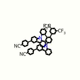 N#Cc1ccc(-c2ccc3c(c2)c2ccccc2n3-c2ccc(-c3cc(C(F)(F)F)cc(C(F)(F)F)c3)c(-c3cc(C#N)ccc3-n3c4ccccc4c4cc(-c5ccc(C#N)cc5)ccc43)c2)cc1